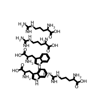 N=C(N)NCCCC(N)C(=O)O.N=C(N)NCCCC(N)C(=O)O.N=C(N)NCCCC(N)C(=O)O.NC(Cc1c[nH]c2ccccc12)C(=O)O.NC(Cc1c[nH]c2ccccc12)C(=O)O